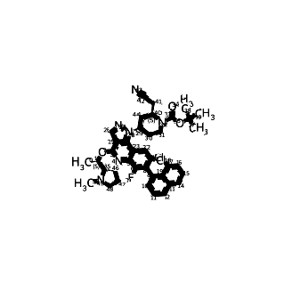 C[C@H](Oc1nc2c(F)c(-c3cccc4cccc(Cl)c34)c(Cl)cc2c2c1cnn2[C@H]1CCN(C(=O)OC(C)(C)C)[C@H](CC#N)C1)[C@@H]1CCCN1C